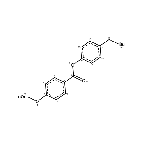 CCCCCCCCOc1ccc(C(=O)Oc2ccc(CC(C)CC)cc2)cc1